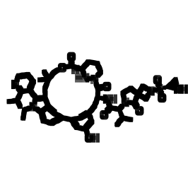 CCn1c(-c2cccnc2C(C)C)c2c3cc(ccc31)-c1cc(O)cc(c1)C[C@H](NC(=O)[C@H](C(C)C)N1CCC3(CN(S(=O)(=O)[C@@H]4CN4)C3)C1=O)C(=O)N1CCC[C@H](N1)C(=O)OCC(C)(C)C2